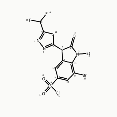 CCn1c(=O)n(-c2nnc(C(F)F)s2)c2cc(S(=O)(=O)Cl)cc(Br)c21